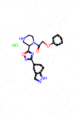 Cl.O=C(COc1ccccc1)N1CCNCC1c1nc(-c2ccc3[nH]ncc3c2)no1